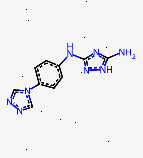 Nc1nc(Nc2ccc(-n3cnnc3)cc2)n[nH]1